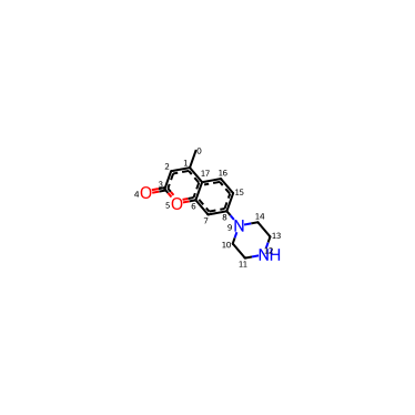 Cc1cc(=O)oc2cc(N3CCNCC3)ccc12